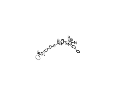 N#Cc1c(-c2ccc(-c3ccccc3)cc2)nc(SCc2ccc(C(=O)NCCCOCCOCCOCCCNC(=O)C3CCCCCCCCC3)cc2)[nH]c1=O